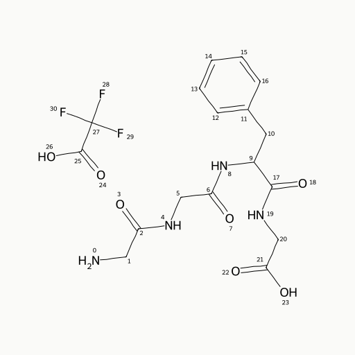 NCC(=O)NCC(=O)NC(Cc1ccccc1)C(=O)NCC(=O)O.O=C(O)C(F)(F)F